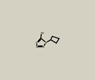 Sc1nnnn1C1CCC1